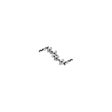 CCCCOCC(C)OC(=O)NCNC(=O)N(C)C(=O)N(C)C(=O)NCNC(=O)OC(C)COCCCC